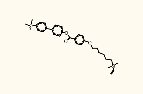 C=C[Si](C)(C)CCCCCCOc1ccc(C(=O)Oc2ccc(-c3ccc([Si](C)(C)C)cc3)cc2)cc1